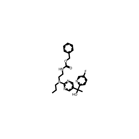 CCCN(CCNC(=O)OCc1ccccc1)c1ncc(C(C)(O)c2ccc(F)cn2)cn1